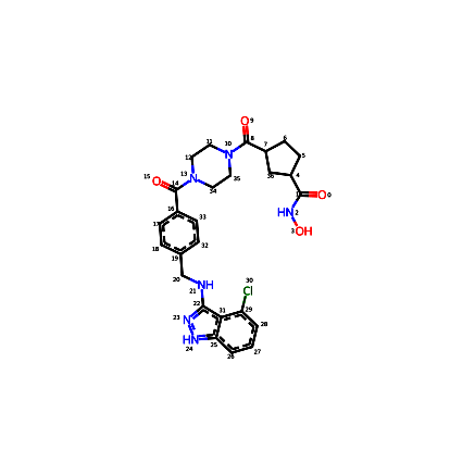 O=C(NO)C1CCC(C(=O)N2CCN(C(=O)c3ccc(CNc4n[nH]c5cccc(Cl)c45)cc3)CC2)C1